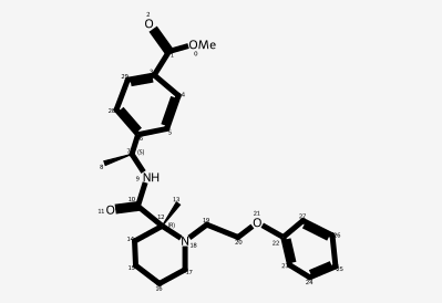 COC(=O)c1ccc([C@H](C)NC(=O)[C@@]2(C)CCCCN2CCOc2ccccc2)cc1